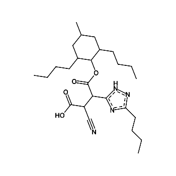 CCCCc1n[nH]c(C(C(=O)OC2C(CCCC)CC(C)CC2CCCC)C(C#N)C(=O)O)n1